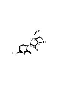 CO[C@]1(CO)O[C@@H](n2ccc(N)nc2=O)[C@H](O)[C@@H]1O